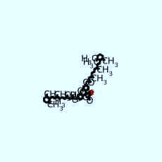 CC1=C(/C=C/C(C)=C/C=C/C(C)=C/C(=O)Oc2ccc3c(c2)Oc2cc(OC(=O)/C=C(C)/C=C/C=C(C)/C=C/C4=C(C)CCCC4(C)C)ccc2C32OC(=O)c3ccccc32)C(C)(C)CCC1